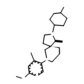 COc1cc(C)c(N2CCC[C@]3(CCN(C4CCC(O)CC4)C3=O)C2)cn1